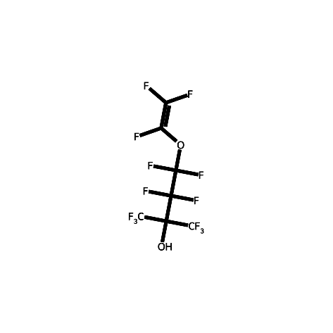 OC(C(F)(F)F)(C(F)(F)F)C(F)(F)C(F)(F)OC(F)=C(F)F